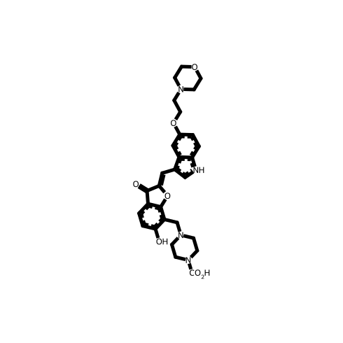 O=C1C(=Cc2c[nH]c3ccc(OCCN4CCOCC4)cc23)Oc2c1ccc(O)c2CN1CCN(C(=O)O)CC1